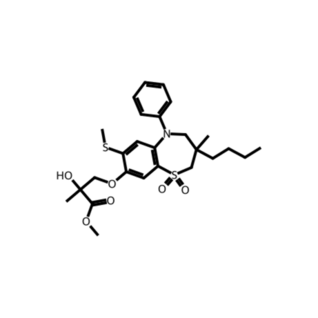 CCCCC1(C)CN(c2ccccc2)c2cc(SC)c(OCC(C)(O)C(=O)OC)cc2S(=O)(=O)C1